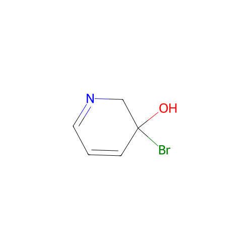 OC1(Br)C=CC=NC1